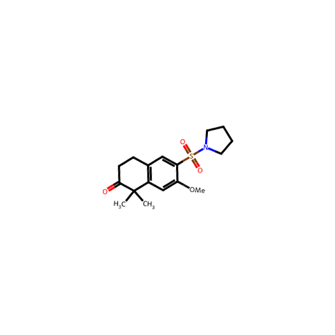 COc1cc2c(cc1S(=O)(=O)N1CCCC1)CCC(=O)C2(C)C